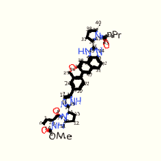 C=C[C@H](NC(=O)OC)C(=O)N1[C@@H](C)CC[C@H]1c1ncc(-c2ccc3c(c2)COc2cc4c(ccc5nc([C@@H]6CC[C@H](C)N6C(=O)CCC)[nH]c54)cc2-3)[nH]1